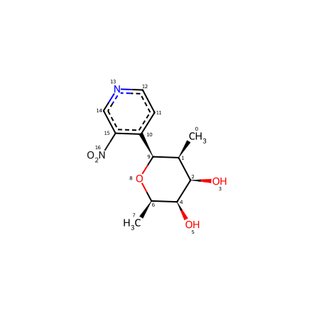 C[C@H]1[C@@H](O)[C@@H](O)[C@@H](C)O[C@H]1c1ccncc1[N+](=O)[O-]